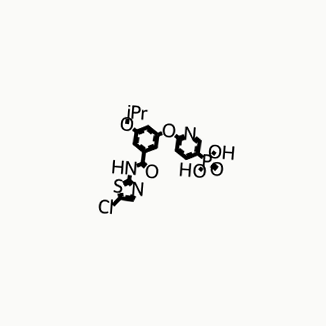 CC(C)Oc1cc(Oc2ccc(P(=O)(O)O)cn2)cc(C(=O)Nc2ncc(Cl)s2)c1